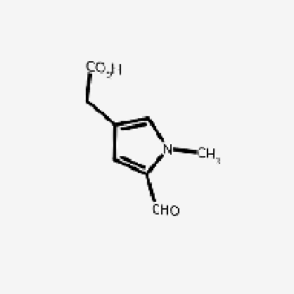 Cn1cc(CC(=O)O)cc1C=O